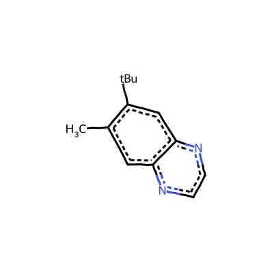 Cc1cc2nccnc2cc1C(C)(C)C